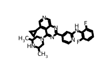 CC1CN(c2nc(-c3ccnc(Nc4c(F)cccc4F)c3)nc3cncc(C4CC4)c23)CC(C)N1